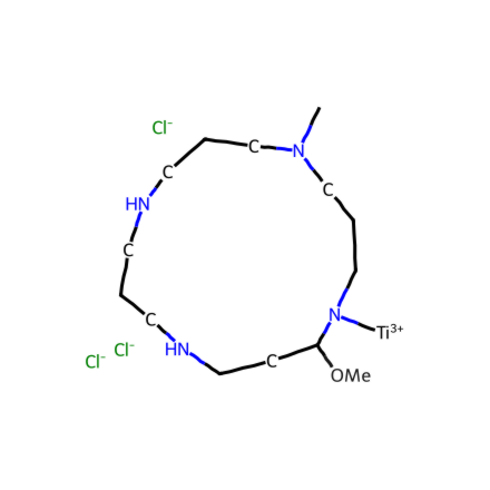 COC1CCNCCCNCCCN(C)CCC[N]1[Ti+3].[Cl-].[Cl-].[Cl-]